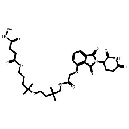 CC(C)(CCOC(C)(C)CCCNC(=O)CCC(=O)NC(C)(C)C)CNC(=O)COc1cccc2c1C(=O)N(C1CCC(=O)NC1=O)C2=O